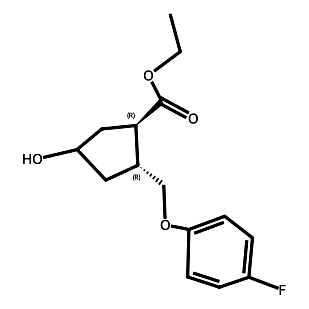 CCOC(=O)[C@@H]1CC(O)C[C@H]1COc1ccc(F)cc1